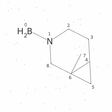 BN1CCC2CC2(C)C1